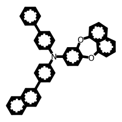 c1ccc(-c2ccc(N(c3ccc(-c4ccc5ccccc5c4)cc3)c3ccc4c(c3)Oc3cccc5cccc(c35)O4)cc2)cc1